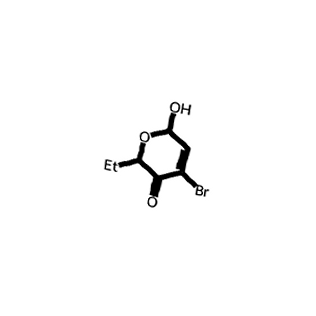 CCC1OC(O)C=C(Br)C1=O